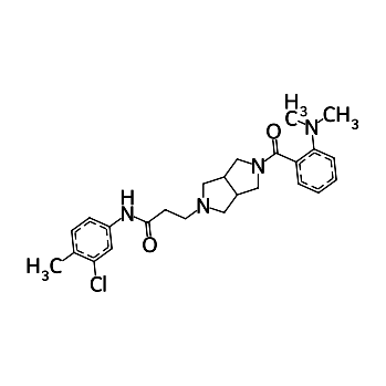 Cc1ccc(NC(=O)CCN2CC3CN(C(=O)c4ccccc4N(C)C)CC3C2)cc1Cl